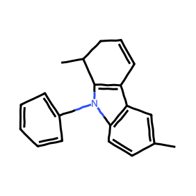 Cc1ccc2c(c1)c1c(n2-c2ccccc2)C(C)CC=C1